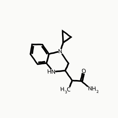 CC(C(N)=O)C1CN(C2CC2)c2ccccc2N1